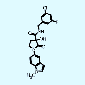 Cn1ccc2cc(N3CCC(O)(C(=O)NCc4cc(F)cc(Cl)c4)C3=O)ccc21